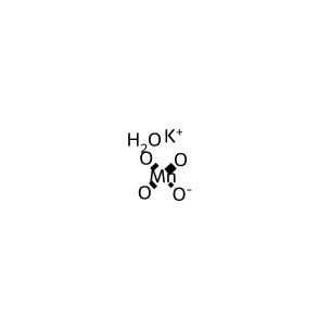 O.[K+].[O]=[Mn](=[O])(=[O])[O-]